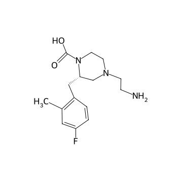 Cc1cc(F)ccc1C[C@H]1CN(CCN)CCN1C(=O)O